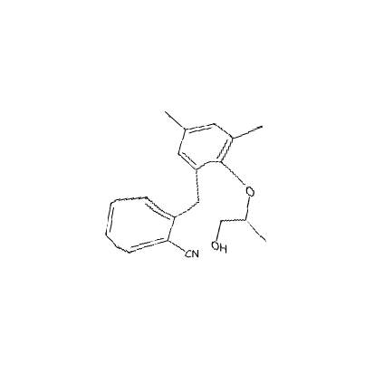 Cc1cc(C)c(OC(C)CO)c(Cc2ccccc2C#N)c1